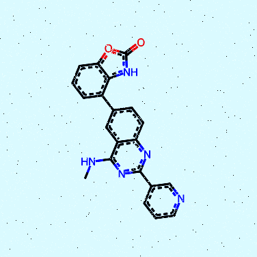 CNc1nc(-c2cccnc2)nc2ccc(-c3cccc4oc(=O)[nH]c34)cc12